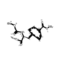 COC(=O)[C@H](Cc1ccc(C(=O)OC(C)(C)C)cc1)NC(=O)OC(C)(C)C